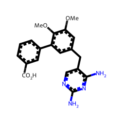 COc1cc(Cc2cnc(N)nc2N)cc(-c2cccc(C(=O)O)c2)c1OC